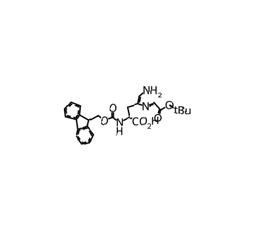 CC(C)(C)OC(=O)/C=N/C(=C\N)C[C@H](NC(=O)OCC1c2ccccc2-c2ccccc21)C(=O)O